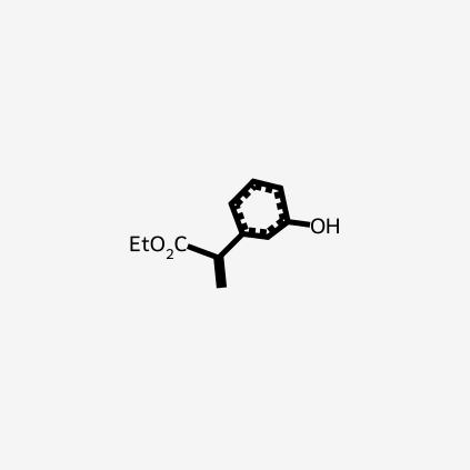 C=C(C(=O)OCC)c1cccc(O)c1